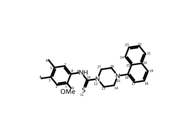 COc1cc(C)c(C)cc1NC(=S)N1CCN(c2cccc3ccccc23)CC1